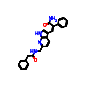 NC(=O)C(=Cc1c[nH]c2nc(CNC(=O)Cc3ccccc3)ccc12)c1ccccc1